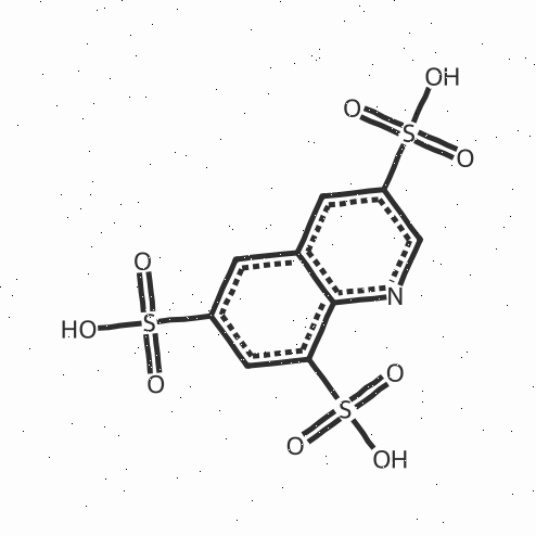 O=S(=O)(O)c1cnc2c(S(=O)(=O)O)cc(S(=O)(=O)O)cc2c1